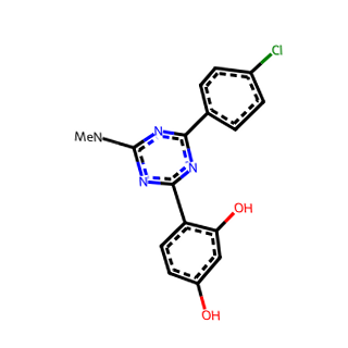 CNc1nc(-c2ccc(Cl)cc2)nc(-c2ccc(O)cc2O)n1